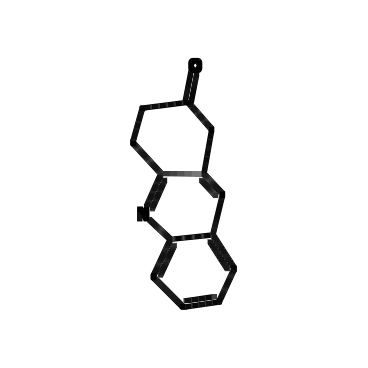 O=C1CCc2nc3ccccc3cc2C1